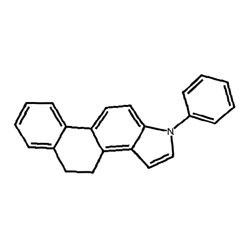 c1ccc(-n2ccc3c4c(ccc32)-c2ccccc2CC4)cc1